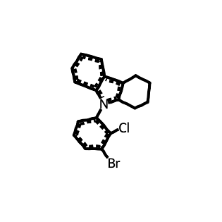 Clc1c(Br)cccc1-n1c2c(c3ccccc31)CCCC2